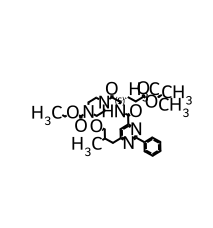 CCOC(=O)N1CCN(C(=O)[C@H](CCC(=O)OC(C)(C)C)NC(=O)c2cc(CC(C)C=O)nc(-c3ccccc3)n2)CC1